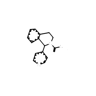 NC(=O)N1CCc2ccccc2C1c1ccncc1